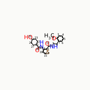 COc1ccccc1CCNC(=O)c1sccc1NC(=O)C1CCC(O)CC1